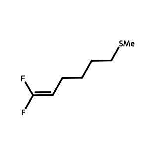 [CH2]SCCCCC=C(F)F